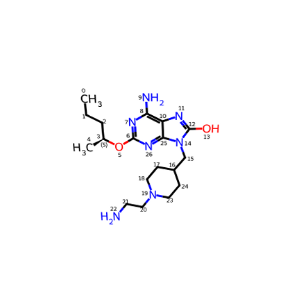 CCC[C@H](C)Oc1nc(N)c2nc(O)n(CC3CCN(CCN)CC3)c2n1